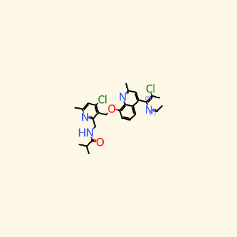 C/C=N\C(=C(/C)Cl)c1cc(C)nc2c(OCc3c(Cl)cc(C)nc3CNC(=O)C(C)C)cccc12